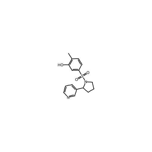 Cc1ccc(S(=O)(=O)N2CCCC2c2cccnc2)cc1O